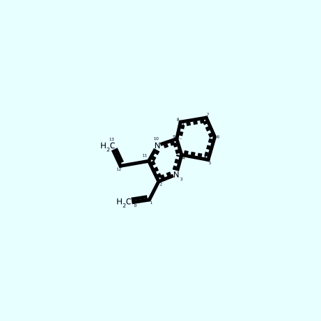 C=Cc1nc2ccccc2nc1C=C